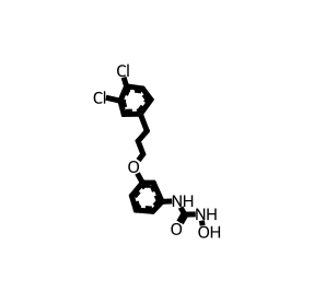 O=C(NO)Nc1cccc(OCCCc2ccc(Cl)c(Cl)c2)c1